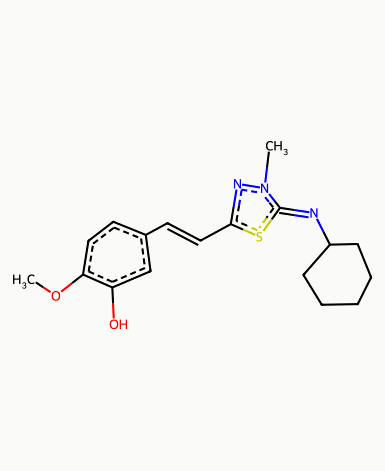 COc1ccc(C=Cc2nn(C)c(=NC3CCCCC3)s2)cc1O